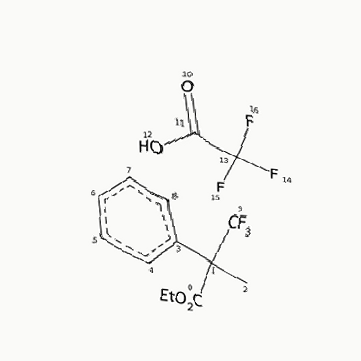 CCOC(=O)C(C)(c1ccccc1)C(F)(F)F.O=C(O)C(F)(F)F